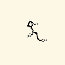 CC(=O)N(CC[O])C1CCN1